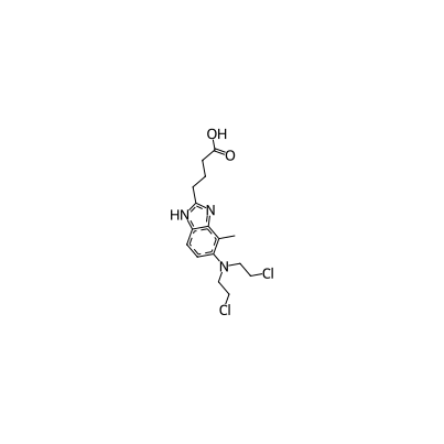 Cc1c(N(CCCl)CCCl)ccc2[nH]c(CCCC(=O)O)nc12